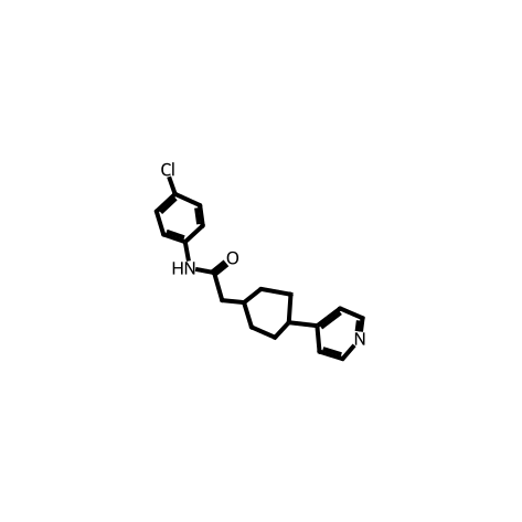 O=C(CC1CCC(c2ccncc2)CC1)Nc1ccc(Cl)cc1